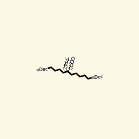 CCCCCCCCCCCCCCCCCCCCCCCCCCCCCC.O.O.O.O